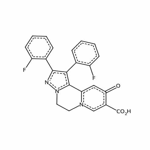 O=C(O)c1cn2c(cc1=O)-c1c(-c3ccccc3F)c(-c3ccccc3F)nn1CC2